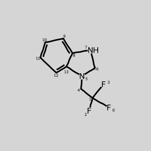 FC(F)(F)CN1[CH]Nc2ccccc21